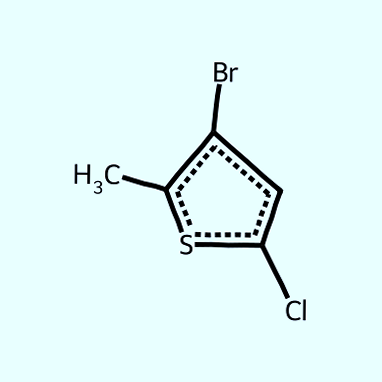 Cc1sc(Cl)cc1Br